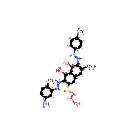 Nc1ccc(S(=O)(=O)O)c(/N=N/c2c(SOOO)cc3cc(S(=O)(=O)O)c(/N=N/c4ccc([N+](=O)[O-])cc4)c(O)c3c2O)c1